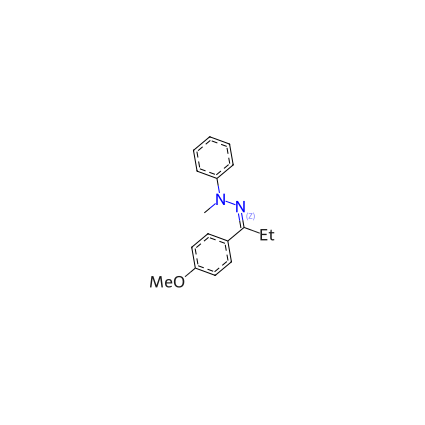 CC/C(=N/N(C)c1ccccc1)c1ccc(OC)cc1